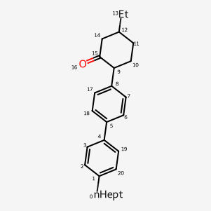 CCCCCCCc1ccc(-c2ccc(C3CCC(CC)CC3=O)cc2)cc1